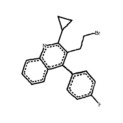 Fc1ccc(-c2c(CCBr)c(C3CC3)nc3ccccc23)cc1